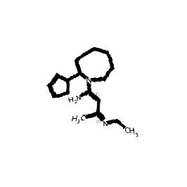 CC/N=C(C)\C=C(/N)N1CCCCCC1C1CCCC1